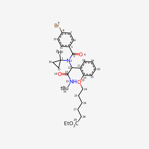 [2H]C1(N(C(=O)c2ccc(Br)cc2)C(C(=O)NC(C)(C)C)c2ccccc2OCCCCCC(=O)OCC)CC1